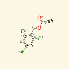 CCCC(=O)OCc1c(F)cc(F)cc1F